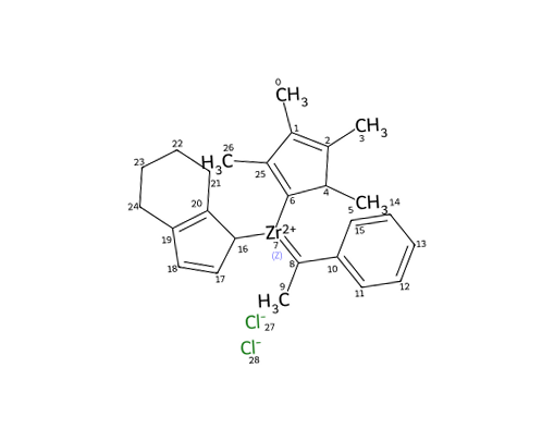 CC1=C(C)C(C)[C](/[Zr+2](=[C](/C)c2ccccc2)[CH]2C=CC3=C2CCCC3)=C1C.[Cl-].[Cl-]